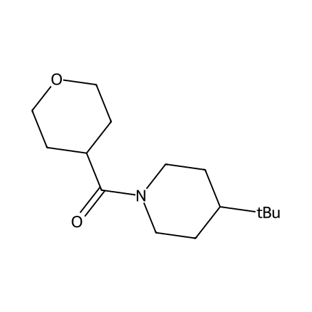 CC(C)(C)C1CCN(C(=O)C2CCOCC2)CC1